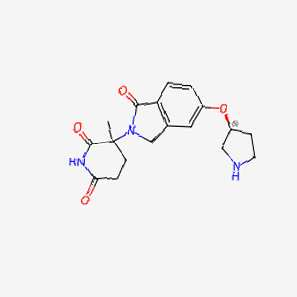 CC1(N2Cc3cc(O[C@H]4CCNC4)ccc3C2=O)CCC(=O)NC1=O